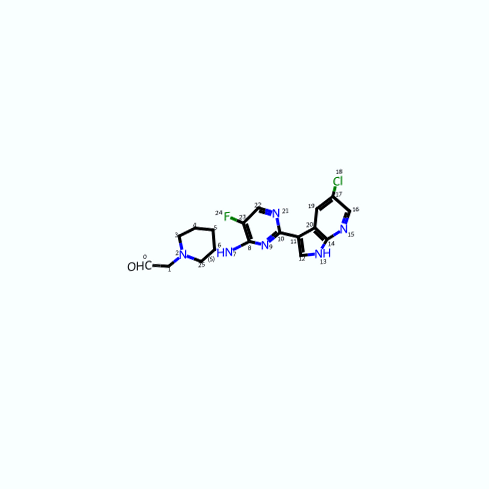 O=CCN1CCC[C@H](Nc2nc(-c3c[nH]c4ncc(Cl)cc34)ncc2F)C1